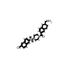 NCC1CCc2cc(C(=O)N3CCN(S(=O)(=O)c4ccc5cc(Cl)ccc5c4)CC3)ccc2C1